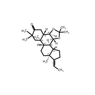 C/C=C1\CC[C@H]2[C@@H]3[C@H]4OC(C)(C)O[C@@H]4[C@H]4CC(=O)C(C)(C)C[C@]4(C)[C@H]3CC[C@]12C